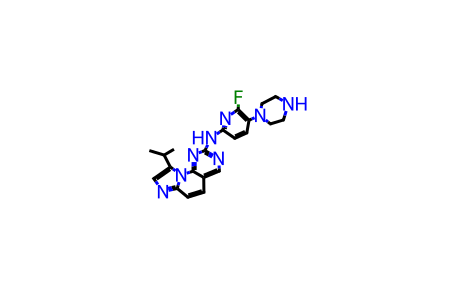 CC(C)c1cnc2ccc3cnc(Nc4ccc(N5CCNCC5)c(F)n4)nc3n12